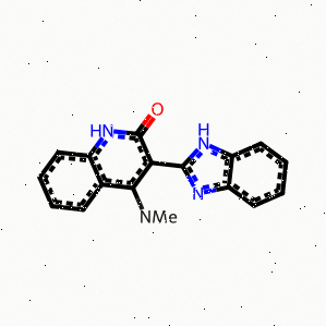 CNc1c(-c2nc3ccccc3[nH]2)c(=O)[nH]c2ccccc12